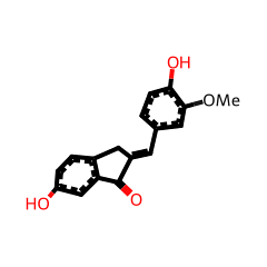 COc1cc(/C=C2\Cc3ccc(O)cc3C2=O)ccc1O